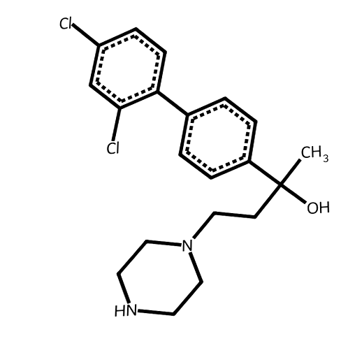 CC(O)(CCN1CCNCC1)c1ccc(-c2ccc(Cl)cc2Cl)cc1